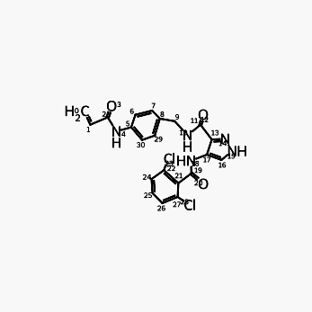 C=CC(=O)Nc1ccc(CNC(=O)c2n[nH]cc2NC(=O)c2c(Cl)cccc2Cl)cc1